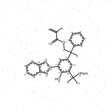 C=C(C)C(=O)OCC(C)(c1ccccc1)c1cc(-n2nc3ccccc3n2)c(O)c(C(C)(C)CCCCC)c1